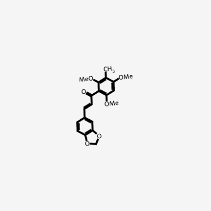 COc1cc(OC)c(C(=O)C=Cc2ccc3c(c2)OCO3)c(OC)c1C